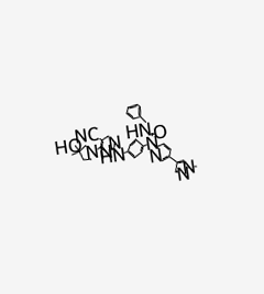 Cn1cc(-c2ccc(N(C(=O)NCc3ccccc3)c3ccc(Nc4ncc(C#N)c(N5CCC(C)(O)C5)n4)cc3)nc2)cn1